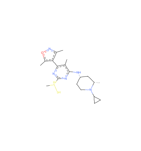 Cc1noc(C)c1-c1nc([SH](C)S)nc(N[C@H]2CCN(C3CC3)[C@@H](C)C2)c1C